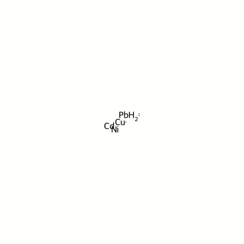 [Cd].[Cu].[Ni].[PbH2]